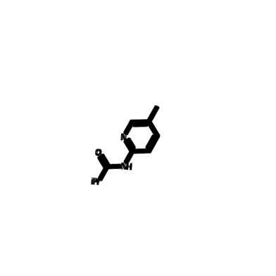 Cc1ccc(NC(=O)C(C)C)nc1